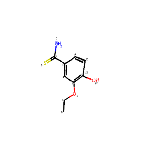 CCOc1cc(C(N)=S)ccc1O